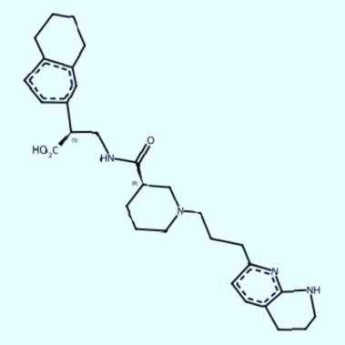 O=C(NC[C@@H](C(=O)O)c1ccc2c(c1)CCCC2)[C@@H]1CCCN(CCCc2ccc3c(n2)NCCC3)C1